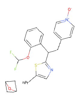 C1C2CC1O2.CCCc1cnc(C(Cc2cc[n+]([O-])cc2)c2ccccc2OC(F)F)s1